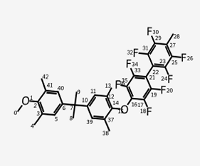 COc1c(C)cc(C(C)(C)c2cc(C)c(Oc3c(F)c(F)c(-c4c(F)c(F)c(C)c(F)c4F)c(F)c3F)c(C)c2)cc1C